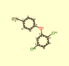 O=[N+]([O-])c1ccc(Oc2cc(Cl)ccc2Cl)cc1